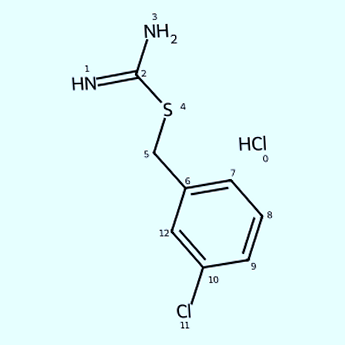 Cl.N=C(N)SCc1cccc(Cl)c1